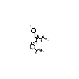 CC(C)(C)OC(=O)N1CCCC(NC(=O)c2cn(-c3ccc(C(F)(F)F)cc3)cc2NC(N)=O)C1